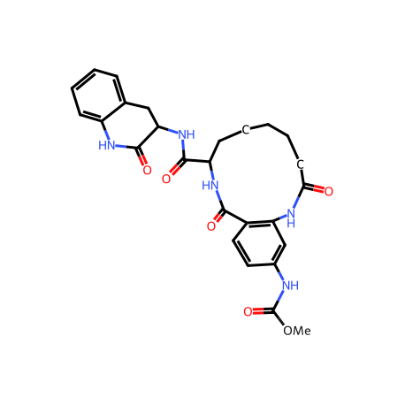 COC(=O)Nc1ccc2c(c1)NC(=O)CCCCCC(C(=O)NC1Cc3ccccc3NC1=O)NC2=O